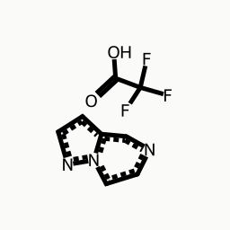 O=C(O)C(F)(F)F.c1cn2nccc2cn1